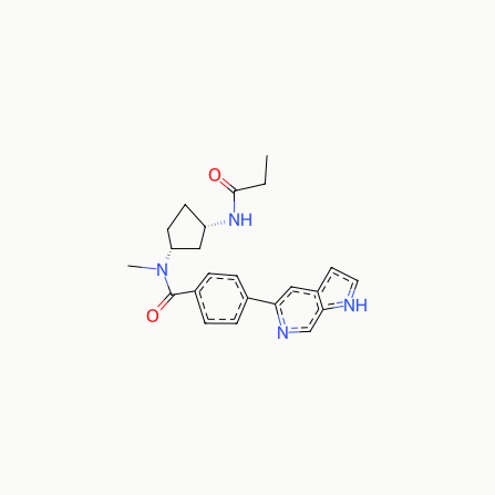 CCC(=O)N[C@H]1CC[C@@H](N(C)C(=O)c2ccc(-c3cc4cc[nH]c4cn3)cc2)C1